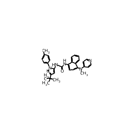 Cc1ccc(-n2nc(C(C)(C)C)cc2NC(=O)Nc2ccc(N(C)c3ccncc3)c3ccccc23)cc1